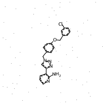 Nc1ncccc1-c1cn(Cc2ccc(OCc3cccc(Cl)c3)cc2)nn1